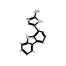 Sc1ncc(-c2cccc3c2oc2ccccc23)o1